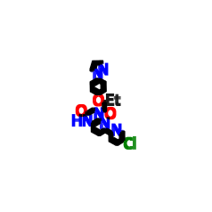 CCC(Oc1ccc(-n2cccn2)cc1)C(=O)N1CC(=O)Nc2ccc(-c3ccc(Cl)cn3)nc21